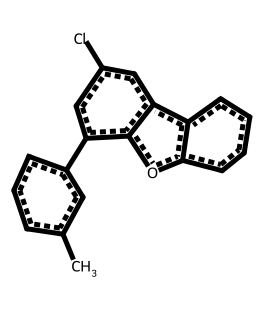 Cc1cccc(-c2cc(Cl)cc3c2oc2ccccc23)c1